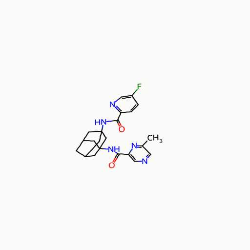 Cc1cncc(C(=O)NC23CC4CC(CC(NC(=O)c5ccc(F)cn5)(C4)C2)C3)n1